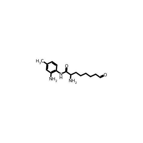 Cc1ccc(NC(=O)C(N)CCCCCC=O)c(N)c1